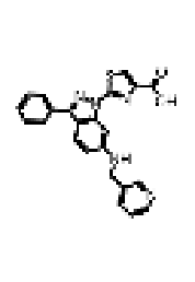 O=C(O)c1csc(-n2nc(-c3ccccc3)c3ccc(NCc4cccnc4)cc32)n1